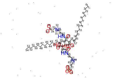 CCCCCCCCCCCCCCCCC(C)CC(C(=O)O)C(C(=O)NCCC[N+](C)(C)CCC(=O)[O-])C(CCCCCCCCCCCCCCCC)CC(C(=O)O)C(C)C(=O)NCCC[N+](C)(C)CCCS(=O)(=O)[O-]